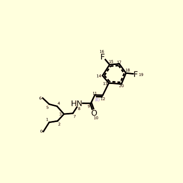 CCCC(CCC)CNC(=O)/C=C/c1cc(F)cc(F)c1